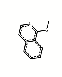 CSc1nccc2ccccc12